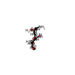 CCN(CC)CCCC[C@H](NC(=O)CNC(=O)[C@H](C)NC(=O)CNC(=O)c1cccnc1)C(=O)NCC(=O)NCCC(=O)N(CC(N)=O)CC1=CN(CCCN)NN1